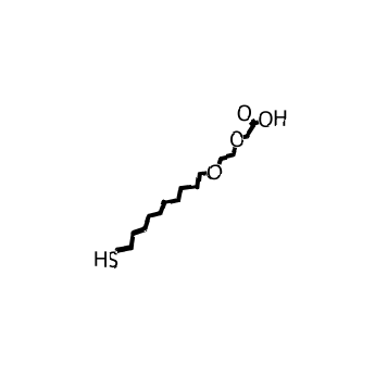 O=C(O)COCCOCCCCCCCCCCCS